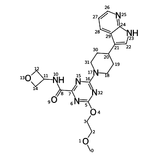 COCCOc1nc(C(=O)NC2COC2)nc(N2CCC(c3c[nH]c4ncccc34)CC2)n1